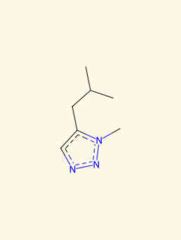 CC(C)Cc1cnnn1C